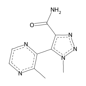 Cc1nccnc1-c1c(C(N)=O)nnn1C